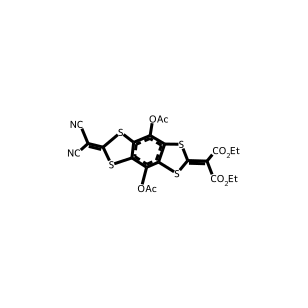 CCOC(=O)C(C(=O)OCC)=C1Sc2c(OC(C)=O)c3c(c(OC(C)=O)c2S1)SC(=C(C#N)C#N)S3